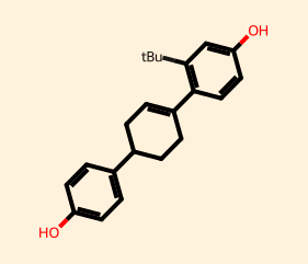 CC(C)(C)c1cc(O)ccc1C1=CCC(c2ccc(O)cc2)CC1